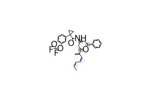 C=C(/C=C\C=C/C)[C@H]1C[C@@H](NC(=O)C2(c3ccc4c(c3)OC(F)(F)O4)CC2)C[C@@H](c2ccccc2)O1